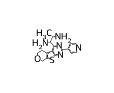 CC(N)C(N)c1nc(-c2ccncc2)nc2sc3c(c12)CCOC3